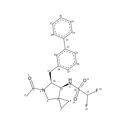 CC(=O)N1CC2(CC2)[C@H](NS(=O)(=O)C(F)F)[C@@H]1Cc1cccc(-c2ccccc2)c1